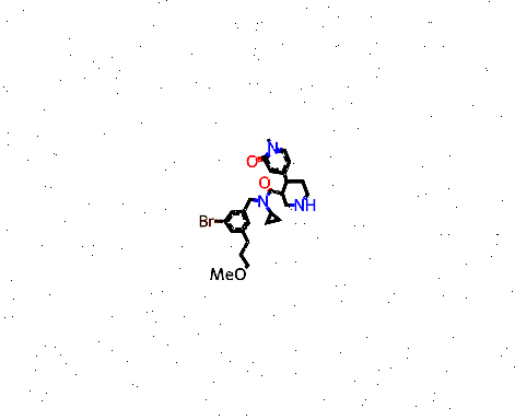 COCCCc1cc(Br)cc(CN(C(=O)C2CNCCC2c2ccn(C)c(=O)c2)C2CC2)c1